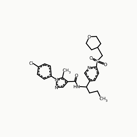 CCCC(NC(=O)c1cnn(-c2ccc(Cl)cc2)c1C)c1ccc(S(=O)(=O)CC2CCOCC2)nc1